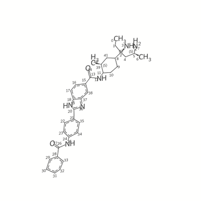 CC[C@](N)(C[C@H](C)N)C1CCC(NC(=O)c2ccc3[nH]c(-c4ccc(NC(=O)c5ccccc5)cc4)nc3c2)[C@@H](C)C1